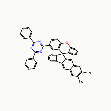 N#Cc1cc2cc3c(cc2cc1C#N)C1(c2ccccc2Oc2ccc(-c4nc(-c5ccccc5)nc(-c5ccccc5)n4)cc21)c1ccccc1-3